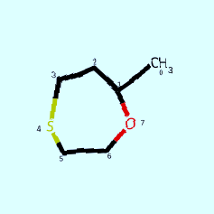 CC1CCSCCO1